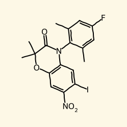 Cc1cc(F)cc(C)c1N1C(=O)C(C)(C)Oc2cc([N+](=O)[O-])c(I)cc21